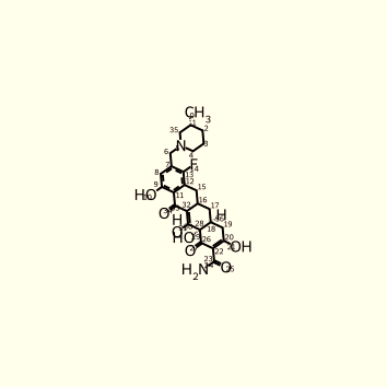 C[C@@H]1CCCN(Cc2cc(O)c3c(c2F)CC2C[C@H]4CC(O)=C(C(N)=O)C(=O)[C@@]4(O)C(O)=C2C3=O)C1